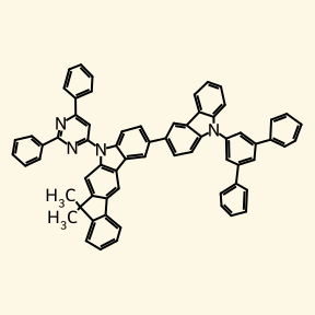 CC1(C)c2ccccc2-c2cc3c4cc(-c5ccc6c(c5)c5ccccc5n6-c5cc(-c6ccccc6)cc(-c6ccccc6)c5)ccc4n(-c4cc(-c5ccccc5)nc(-c5ccccc5)n4)c3cc21